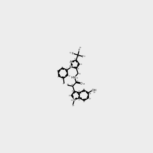 Cc1cccc(-n2nc(C(F)(F)F)cc2CNC(=O)C(C)c2cn(C)c3ccc(O)cc23)c1